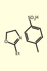 CCC1=NCCO1.Cc1ccc(S(=O)(=O)O)cc1